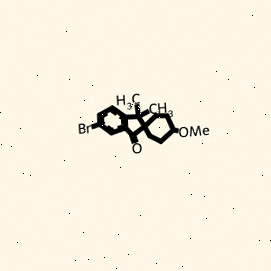 COC1CCC2(CC1)C(=O)c1cc(Br)ccc1C2(C)C